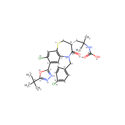 CC(C)(C[C@H]1CSc2cc(Cl)c(-c3nnc(C(C)(C)C)o3)cc2N(Cc2ccc(Cl)cc2)C1=O)NC(=O)O